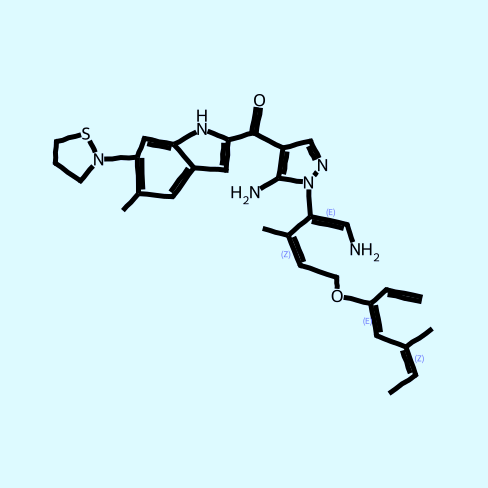 C=C/C(=C\C(C)=C/C)OC/C=C(C)\C(=C/N)n1ncc(C(=O)c2cc3cc(C)c(N4CCCS4)cc3[nH]2)c1N